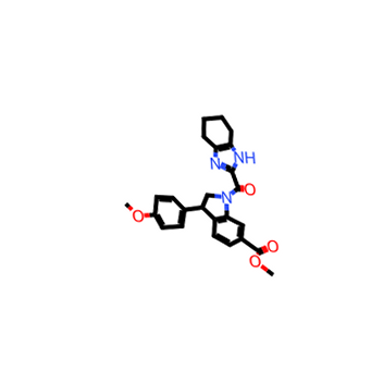 COC(=O)c1ccc2c(c1)N(C(=O)c1nc3c([nH]1)CCCC3)CC2c1ccc(OC)cc1